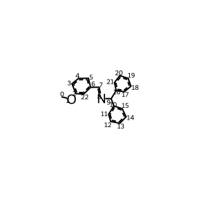 COc1cccc(/C=N/C(c2ccccc2)c2ccccc2)c1